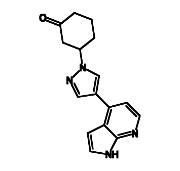 O=C1CCCC(n2cc(-c3ccnc4[nH]ccc34)cn2)C1